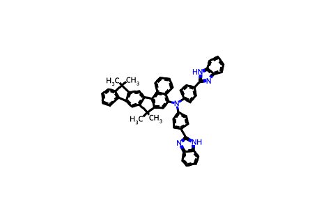 CC1(C)c2ccccc2-c2cc3c(cc21)-c1c(cc(N(c2ccc(-c4nc5ccccc5[nH]4)cc2)c2ccc(-c4nc5ccccc5[nH]4)cc2)c2ccccc12)C3(C)C